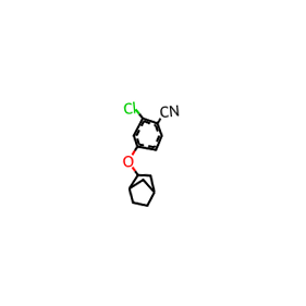 N#Cc1ccc(OC2CC3CCC2C3)cc1Cl